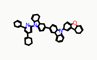 C1=CC(c2cc(C3=CCCCC3)cc(N3C4=CC=C(C5=CC6c7ccccc7N(C7C=C8C(=CC7)OC7C=CCCC87)C6C=C5)CC4C4CCC=CC43)n2)=CCC1